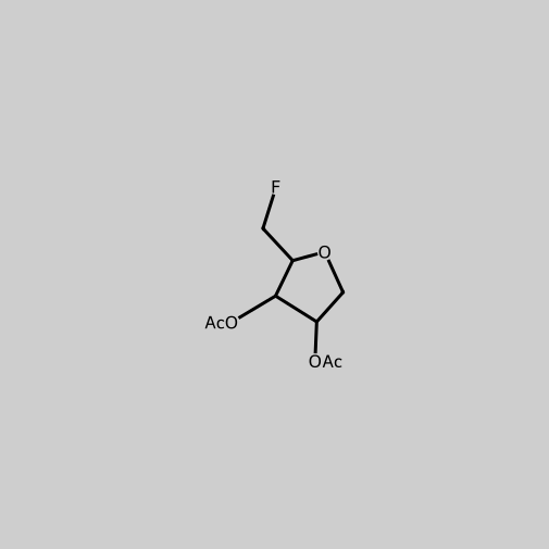 CC(=O)OC1COC(CF)C1OC(C)=O